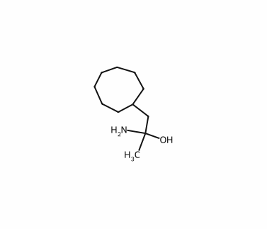 CC(N)(O)CC1CCCCCCC1